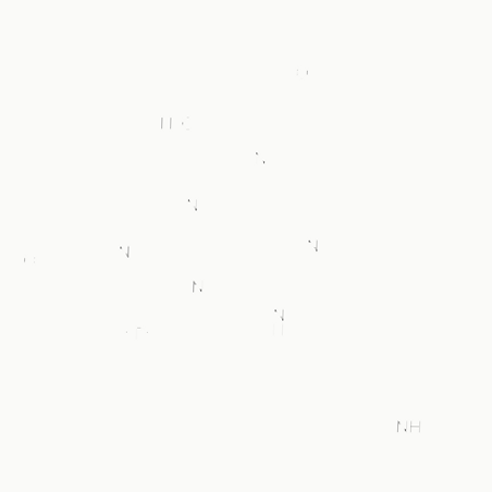 CCCC1COCCN1c1nc(N2CCOCC2C)c2nc(-c3cccc4[nH]ccc34)[nH]c2n1